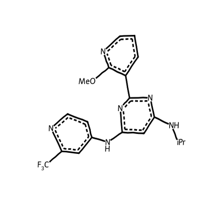 COc1ncccc1-c1nc(Nc2ccnc(C(F)(F)F)c2)cc(NC(C)C)n1